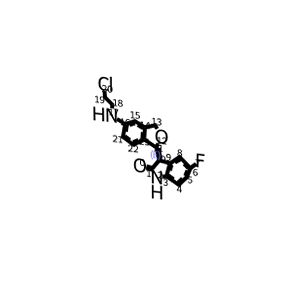 O=C1Nc2ccc(F)cc2/C1=C1\OCc2cc(NCCCl)ccc21